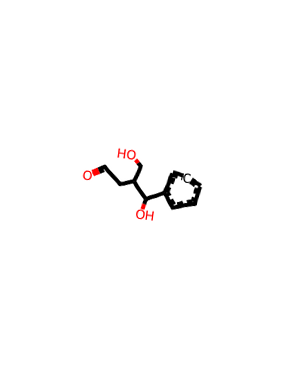 O=CCC(CO)C(O)c1ccccc1